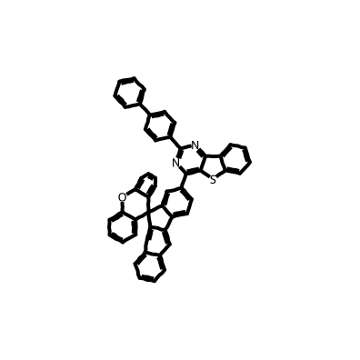 c1ccc(-c2ccc(-c3nc(-c4ccc5c(c4)C4(c6ccccc6Oc6ccccc64)c4cc6ccccc6cc4-5)c4sc5ccccc5c4n3)cc2)cc1